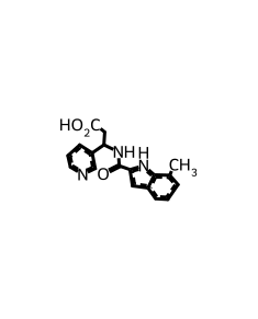 Cc1cccc2cc(C(=O)NC(CC(=O)O)c3cccnc3)[nH]c12